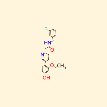 CCOc1cc(O)ccc1-c1ccc(CC(=O)NCc2cccc(F)c2)nc1